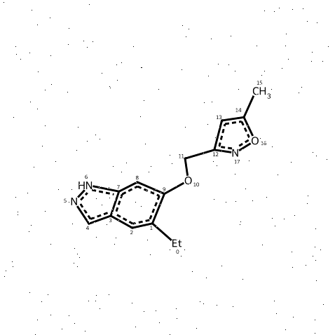 CCc1cc2cn[nH]c2cc1OCc1cc(C)on1